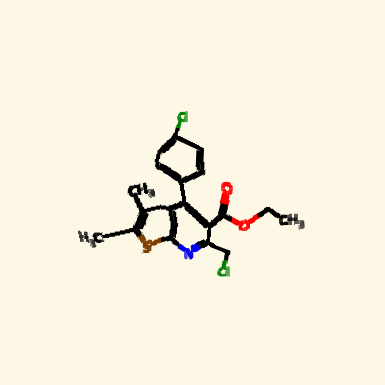 CCOC(=O)c1c(CCl)nc2sc(C)c(C)c2c1-c1ccc(Cl)cc1